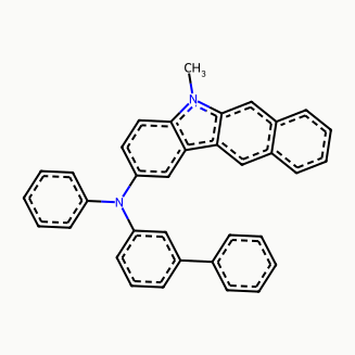 Cn1c2ccc(N(c3ccccc3)c3cccc(-c4ccccc4)c3)cc2c2cc3ccccc3cc21